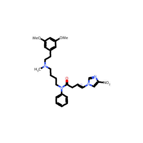 COc1cc(CCN(C)CCCCN(C(=O)C/C=C/n2cnc([N+](=O)[O-])c2)c2ccccc2)cc(OC)c1